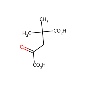 CC(C)(CC(=O)C(=O)O)C(=O)O